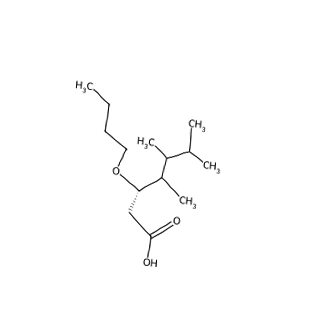 CCCCO[C@@H](CC(=O)O)C(C)C(C)C(C)C